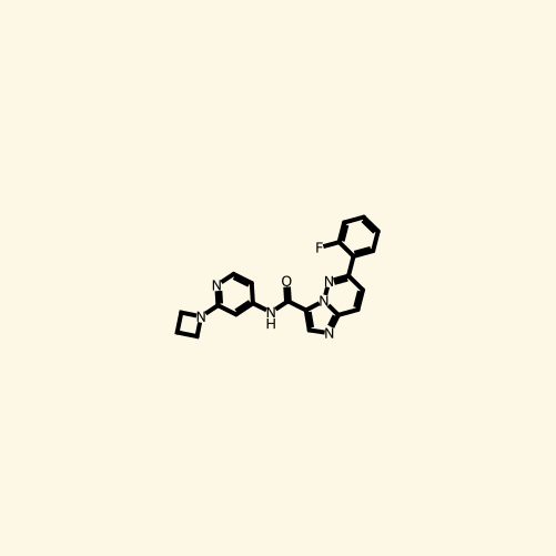 O=C(Nc1ccnc(N2CCC2)c1)c1cnc2ccc(-c3ccccc3F)nn12